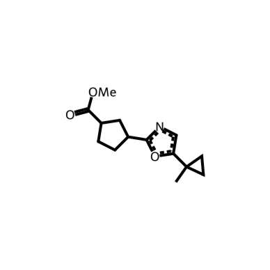 COC(=O)C1CCC(c2ncc(C3(C)CC3)o2)C1